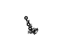 CC(C)[C@H](NS(=O)(=O)c1ccc2c(c1)sc1cc(N(C)Cc3ccccc3)ccc12)C(=O)OC(C)(C)C